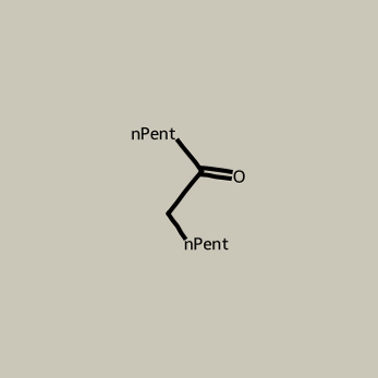 CCCCCCC(=O)CCCCC